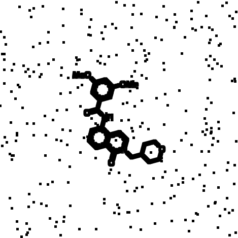 COc1cc(OC)cc(C(=O)Nc2cccc3c(=O)n(CC4CCOCC4)ccc23)c1